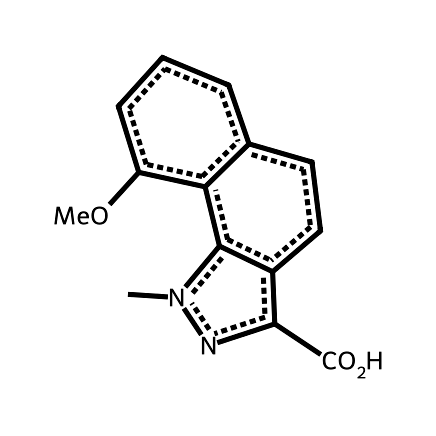 COc1cccc2ccc3c(C(=O)O)nn(C)c3c12